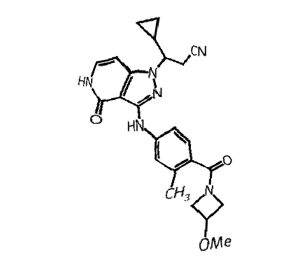 COC1CN(C(=O)c2ccc(Nc3nn(C(CC#N)C4CC4)c4cc[nH]c(=O)c34)cc2C)C1